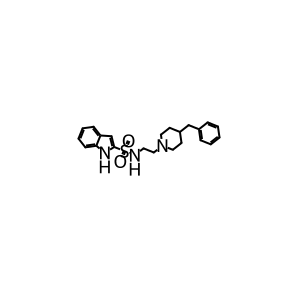 O=S(=O)(NCCN1CCC(Cc2ccccc2)CC1)c1cc2ccccc2[nH]1